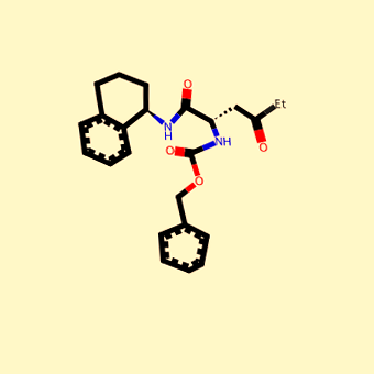 CCC(=O)C[C@H](NC(=O)OCc1ccccc1)C(=O)N[C@@H]1CCCc2ccccc21